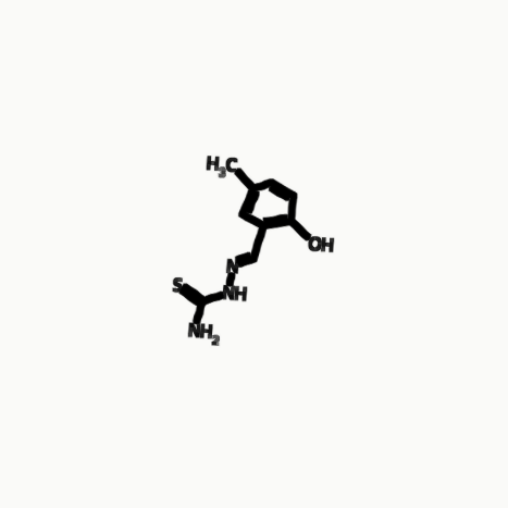 Cc1ccc(O)c(C=NNC(N)=S)c1